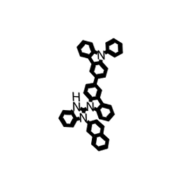 c1ccc(-n2c3ccccc3c3cc(-c4ccc5c(c4)c4ccccc4n5C4Nc5ccccc5N4c4ccc5ccccc5c4)ccc32)cc1